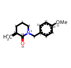 C=C1CCCN(Cc2ccc(OC)cc2)C1=O